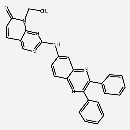 CCn1c(=O)ccc2cnc(Nc3ccc4nc(-c5ccccc5)c(-c5ccccc5)nc4c3)nc21